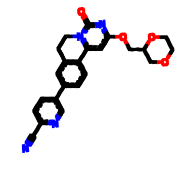 N#Cc1ccc(-c2ccc3c(c2)CCn2c-3cc(OCC3COCCO3)nc2=O)cn1